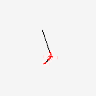 CCCCCCCCCCCCCCCCCCCCCC(=O)OCC(CO)(CO)COC(=O)CCCCC(=O)O